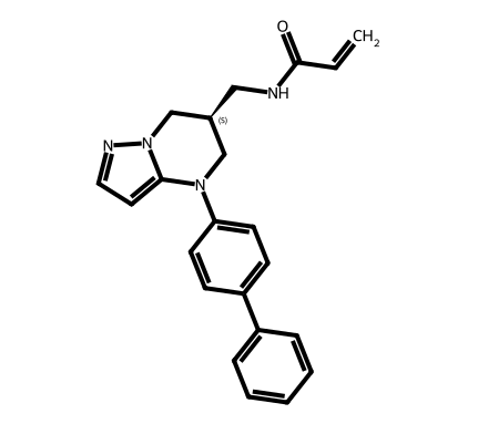 C=CC(=O)NC[C@H]1CN(c2ccc(-c3ccccc3)cc2)c2ccnn2C1